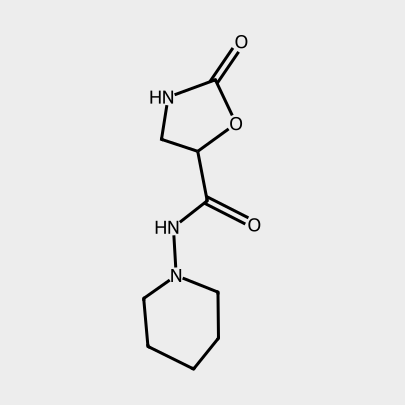 O=C1NCC(C(=O)NN2CCCCC2)O1